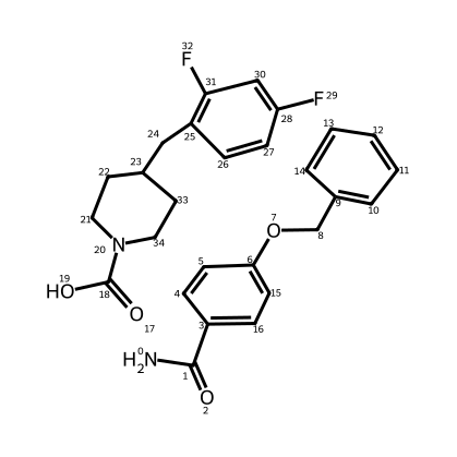 NC(=O)c1ccc(OCc2ccccc2)cc1.O=C(O)N1CCC(Cc2ccc(F)cc2F)CC1